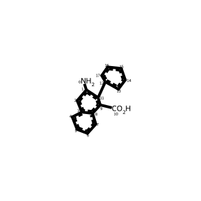 Nc1cc2ccccc2c(C(=O)O)c1-c1ccccc1